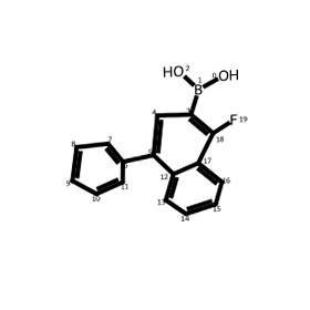 OB(O)c1cc(-c2ccccc2)c2ccccc2c1F